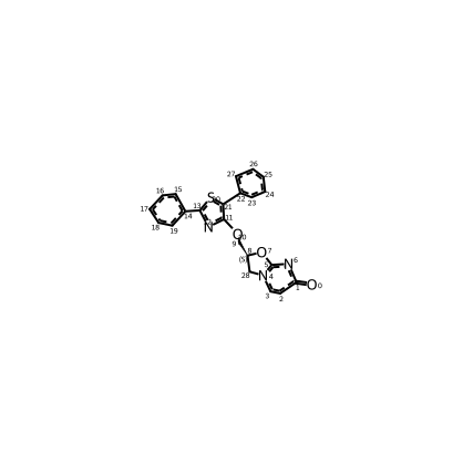 O=c1ccn2c(n1)O[C@H](COc1nc(-c3ccccc3)sc1-c1ccccc1)C2